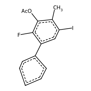 CC(=O)Oc1c(C)c(I)cc(-c2ccccc2)c1F